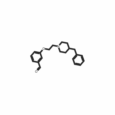 O=Cc1cccc(OCCN2CCC(Cc3ccccc3)CC2)c1